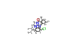 CCC(CC)c1ccc(Cl)c2nc3n(c12)CCN3C(=O)c1c(C)cc(C)cc1C